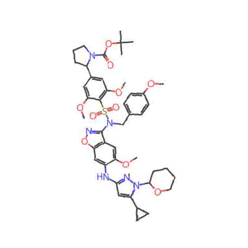 COc1ccc(CN(c2noc3cc(Nc4cc(C5CC5)n(C5CCCCO5)n4)c(OC)cc23)S(=O)(=O)c2c(OC)cc(C3CCCN3C(=O)OC(C)(C)C)cc2OC)cc1